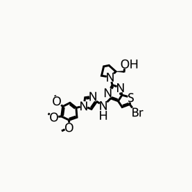 COc1cc(-n2cnc(Nc3nc(N4CCC[C@H]4CO)nc4sc(Br)cc34)c2)cc(OC)c1OC